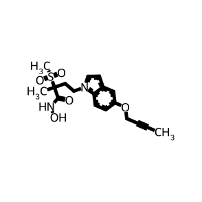 CC#CCOc1ccc2c(ccn2CCC(C)(C(=O)NO)S(C)(=O)=O)c1